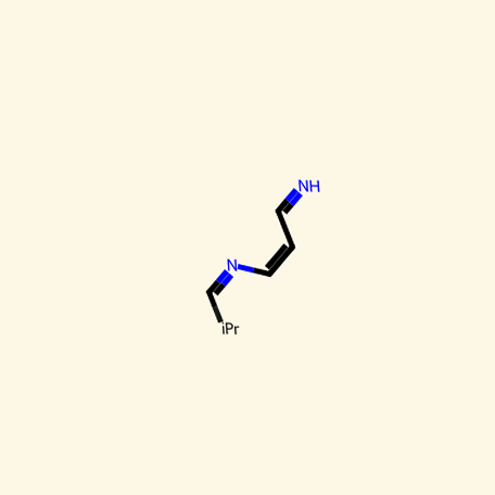 CC(C)/C=N\C=C/C=N